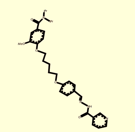 COc1cc(C(=O)N(C(C)C)C(C)C)ccc1OCCCCCOc1ccc(C=NNC(=O)c2cccnc2)cc1